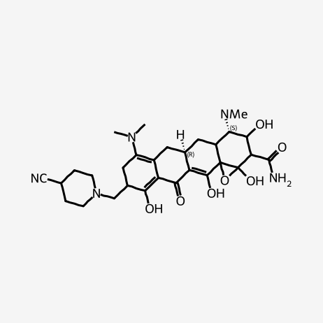 CN[C@@H]1C(O)C(C(N)=O)C2(O)OC23C(O)=C2C(=O)C4=C(O)C(CN5CCC(C#N)CC5)CC(N(C)C)=C4C[C@H]2CC13